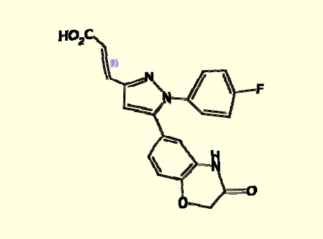 O=C(O)/C=C/c1cc(-c2ccc3c(c2)NC(=O)CO3)n(-c2ccc(F)cc2)n1